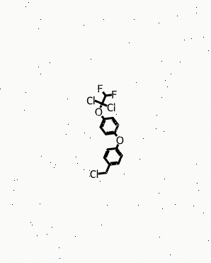 FC(F)C(Cl)(Cl)Oc1ccc(Oc2ccc(CCl)cc2)cc1